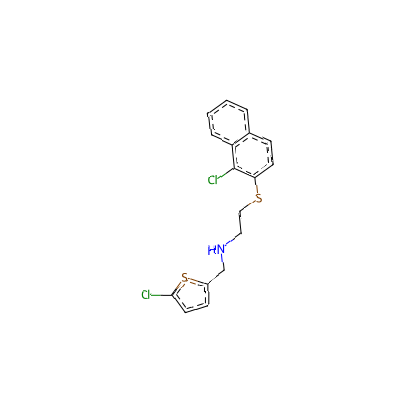 Clc1ccc(CNCCSc2ccc3ccccc3c2Cl)s1